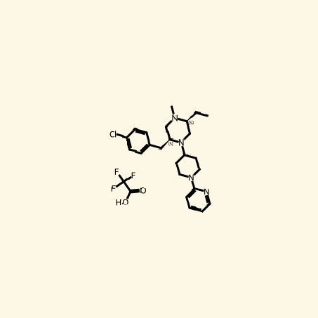 CC[C@H]1CN(C2CCN(c3ccccn3)CC2)[C@@H](Cc2ccc(Cl)cc2)CN1C.O=C(O)C(F)(F)F